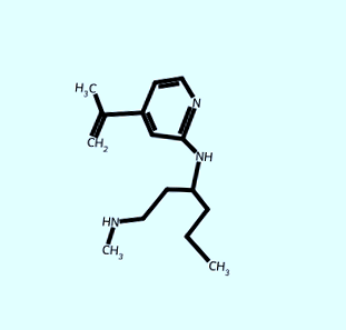 C=C(C)c1ccnc(NC(CCC)CCNC)c1